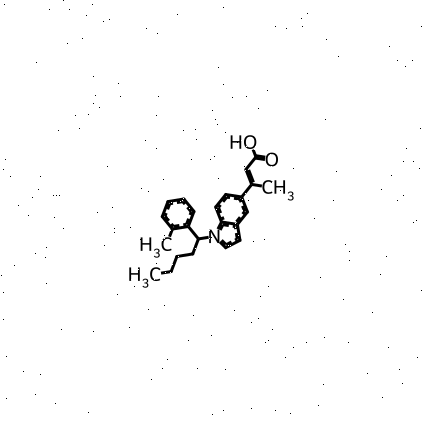 CCCCC(c1ccccc1C)n1ccc2cc(/C(C)=C/C(=O)O)ccc21